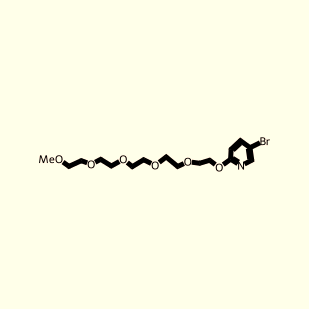 COCCOCCOCCOCCOCCOc1ccc(Br)cn1